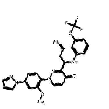 COc1cc(-n2cccn2)ccc1-n1ccc(=O)c(C(CC=N)Nc2cccc(OC(F)(F)F)c2)n1